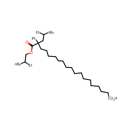 CCCCC(CC)COC(=O)C(CCCCCCCCCCCCCCCCC(=O)O)(CC(CC)CCCC)C(C)C